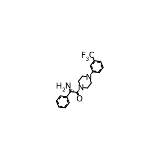 N[C@@H](C(=O)N1CCN(c2cccc(C(F)(F)F)c2)CC1)c1ccccc1